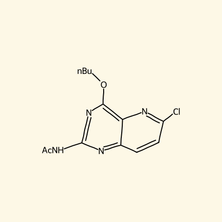 CCCCOc1nc(NC(C)=O)nc2ccc(Cl)nc12